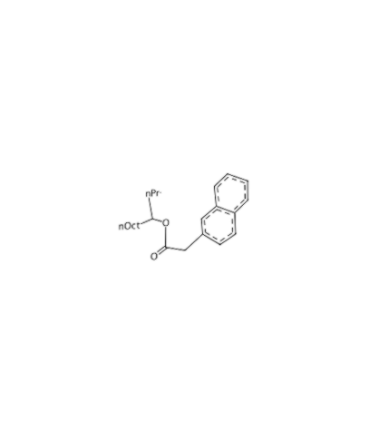 CC[CH]C(CCCCCCCC)OC(=O)Cc1ccc2ccccc2c1